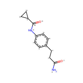 NC(=O)CCc1ccc(NC(=O)C2CC2)cc1